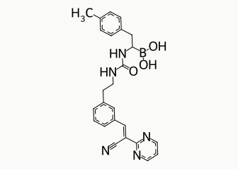 Cc1ccc(CC(NC(=O)NCCc2cccc(C=C(C#N)c3ncccn3)c2)B(O)O)cc1